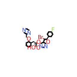 O=C(O)[C@@H](Cc1ccccc1OCc1cnccn1)Oc1ncnc2oc(-c3ccc(F)cc3)c(Br)c12